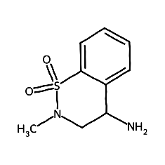 CN1CC(N)c2ccccc2S1(=O)=O